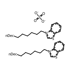 CCCCCCCCCCCCCCCC[n+]1csc2ccccc21.CCCCCCCCCCCCCCCC[n+]1csc2ccccc21.O=S(=O)([O-])[O-]